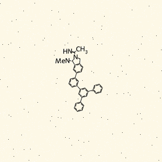 CNC1c2cc(-c3cccc(-c4cc(-c5ccccc5)cc(-c5ccccc5)c4)c3)ccc2CN1C(C)=N